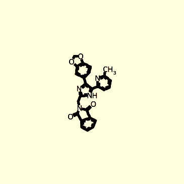 Cc1cccc(-c2[nH]c(CN3C(=O)c4ccccc4C3=O)nc2-c2ccc3c(c2)OCO3)n1